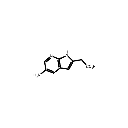 Nc1cnc2[nH]c(CC(=O)O)cc2c1